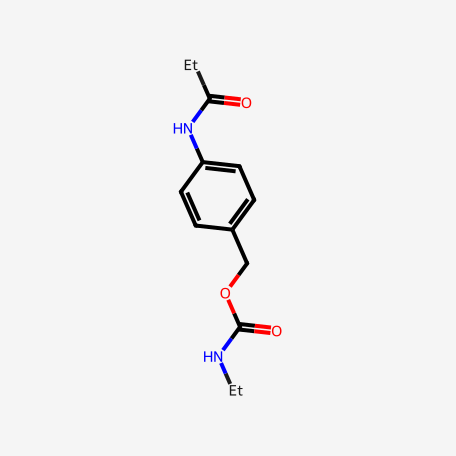 CCNC(=O)OCc1ccc(NC(=O)CC)cc1